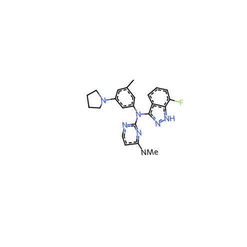 CNc1ccnc(N(c2cc(C)cc(N3CCCC3)c2)c2n[nH]c3c(F)cccc23)n1